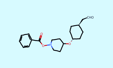 O=CC[C@H]1CC[C@H](OC2CCN(OC(=O)c3ccccc3)CC2)CC1